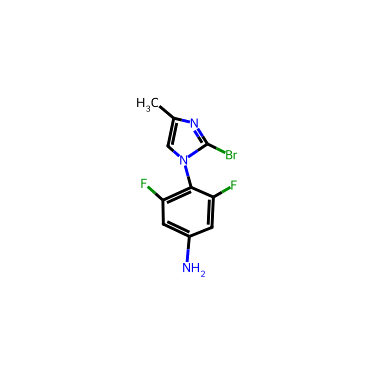 Cc1cn(-c2c(F)cc(N)cc2F)c(Br)n1